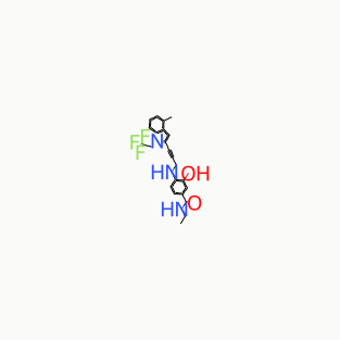 CCNC(=O)c1ccc(NCC#Cc2cc3c(C)cccc3n2CC(F)(F)F)c(O)c1